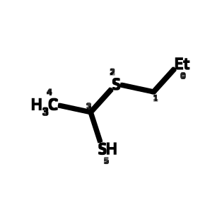 CCCSC(C)S